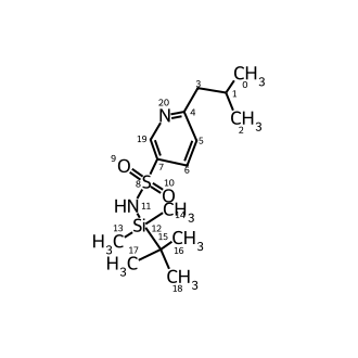 CC(C)Cc1ccc(S(=O)(=O)N[Si](C)(C)C(C)(C)C)cn1